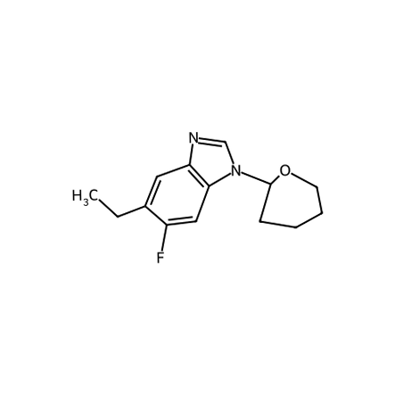 CCc1cc2ncn(C3CCCCO3)c2cc1F